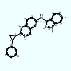 c1ccc(C2CC2c2ncc3cc(Nc4n[nH]c5ccccc45)ccc3n2)cc1